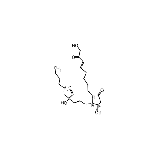 C=CC(O)(CCCCCC)CCC[C@H]1[C@H](O)CC(=O)[C@@H]1CCCCC=CC(=O)CO